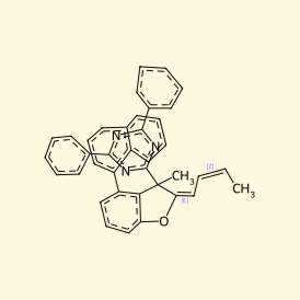 C/C=C\C=C1\Oc2cccc(-c3cccc4ccccc34)c2C1(C)c1nc(-c2ccccc2)nc(-c2ccccc2)n1